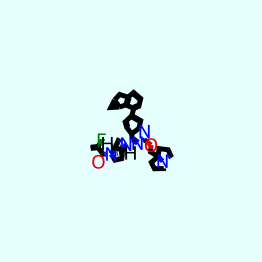 C=C(F)C(=O)N1CC[C@@H]2[C@H]1CN2C1=NC(OCC23CCCN2CCC3)=NC2C=C(c3cccc4c3C3CC3C4)C=CC12